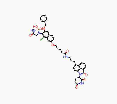 O=C(CCCCOc1ccc2cc(OCc3ccccc3)c(N3CC(=O)NS3(O)O)c(F)c2c1)NCCCc1ccc2c3c(cccc13)C(=O)N2C1CCC(=O)NC1=O